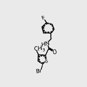 Cc1cc(Br)sc1C(=O)NCc1ccc(F)cc1